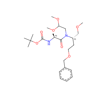 COC[C@H](CCOCc1ccccc1)N(CC(OC)OC)C(=O)[C@H](C)NC(=O)OC(C)(C)C